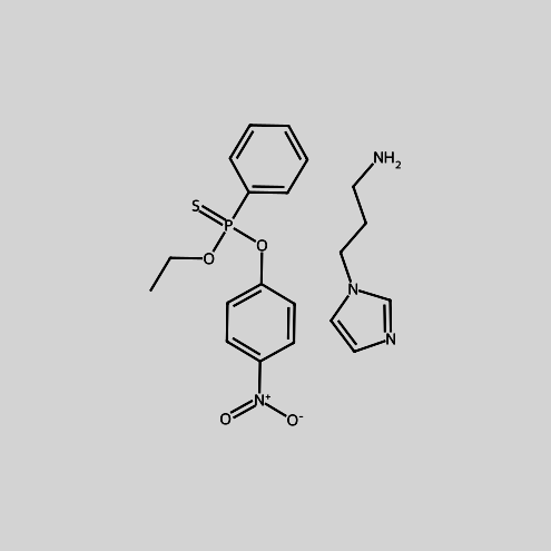 CCOP(=S)(Oc1ccc([N+](=O)[O-])cc1)c1ccccc1.NCCCn1ccnc1